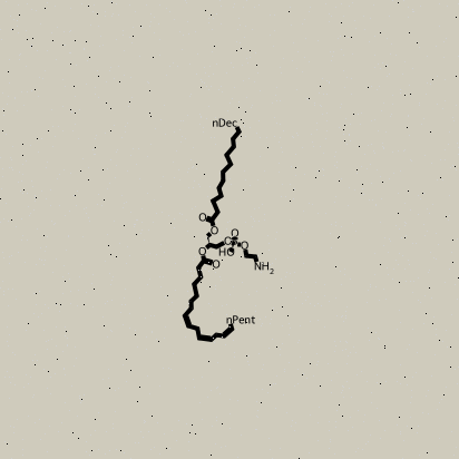 CCCCC/C=C\C/C=C\C/C=C\CCCCCCC(=O)O[C@H](COC(=O)CCCCCCCCCCCCCCCCCCCCC)COP(=O)(O)OCCN